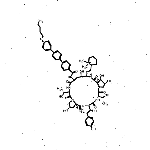 CCCCCOc1ccc(-c2ccc(-c3ccc(C(=O)N[C@H]4C[C@@H](O)[C@@H](OC[C@@H]5CCCC[N+]5(C)C)NC(=O)[C@@H]5[C@@H](O)[C@@H](C)CN5C(=O)[C@H]([C@@H](C)O)NC(=O)[C@H]([C@H](O)[C@@H](O)c5ccc(O)cc5)NC(=O)[C@@H]5C[C@@H](O)CN5C(=O)[C@H]([C@@H](C)O)NC4=O)cc3)cc2)cc1